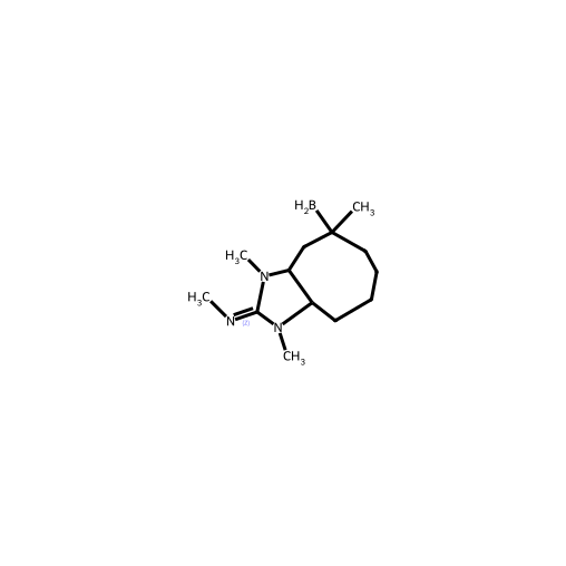 BC1(C)CCCCC2C(C1)N(C)/C(=N\C)N2C